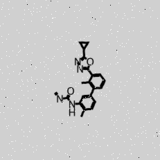 C=NC(=O)Nc1cc(-c2cccc(-c3nnc(C4CC4)o3)c2C)ccc1C